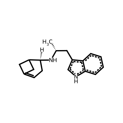 C[C@H](Cc1c[nH]c2ccccc12)N[C@H]1CC=C2CC1C2